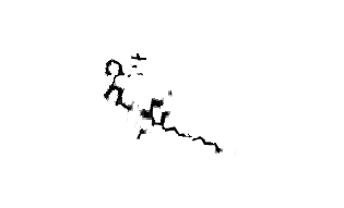 COc1cc2c(N[C@@H](C)c3cc(-c4ccccc4CN(C)C(=O)OC(C)(C)C)cs3)nc(C)nc2c(CCCCCCCCC(=O)O)c1OC